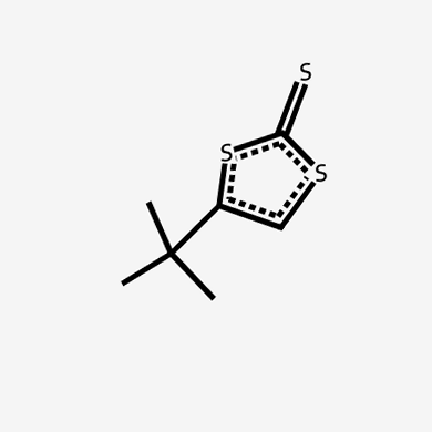 CC(C)(C)c1csc(=S)s1